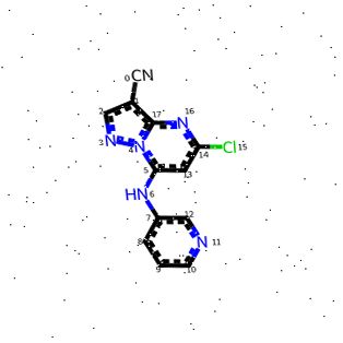 N#Cc1cnn2c(Nc3cccnc3)cc(Cl)nc12